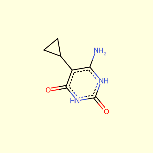 Nc1[nH]c(=O)[nH]c(=O)c1C1CC1